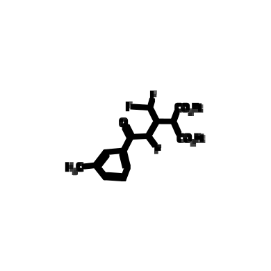 CCOC(=O)C(C(=O)OCC)C(C(F)F)C(F)C(=O)c1cccc(C)c1